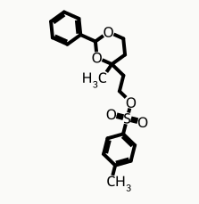 Cc1ccc(S(=O)(=O)OCCC2(C)CCOC(c3ccccc3)O2)cc1